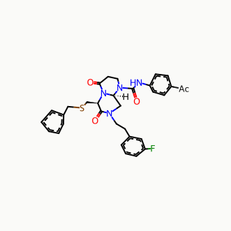 CC(=O)c1ccc(NC(=O)N2CCC(=O)N3[C@H](CSCc4ccccc4)C(=O)N(CCc4cccc(F)c4)C[C@H]23)cc1